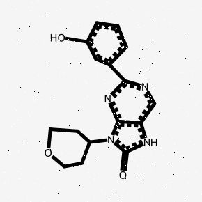 O=c1[nH]c2cnc(-c3cccc(O)c3)nc2n1C1CCOCC1